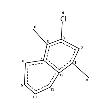 Cc1cc(Cl)c(C)c2ccccc12